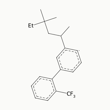 CCC(C)(C)CC(C)c1[c]ccc(-c2ccccc2C(F)(F)F)c1